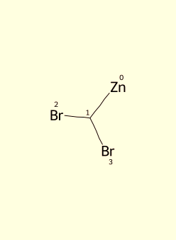 [Zn][CH](Br)Br